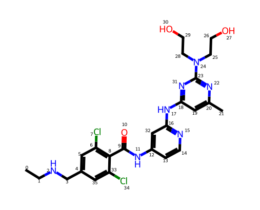 CCNCc1cc(Cl)c(C(=O)Nc2ccnc(Nc3cc(C)nc(N(CCO)CCO)n3)c2)c(Cl)c1